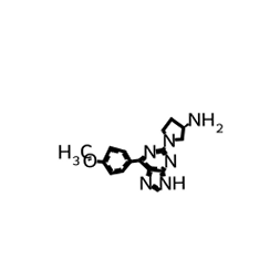 COc1ccc(-c2nc(N3CC[C@@H](N)C3)nc3[nH]cnc23)cc1